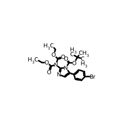 CCOC(=O)N(C(=O)OCC)c1ncc(-c2ccc(Br)cc2)n1C(=O)OC(C)(C)C